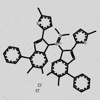 Cc1ccc(C2=Cc3c(cc(C)c(C)c3-c3ccccc3)[CH]2[Zr+2]([CH]2C(c3ccc(C)s3)=Cc3c2cc(C)c(C)c3-c2ccccc2)=[Si](C)C)s1.[Cl-].[Cl-]